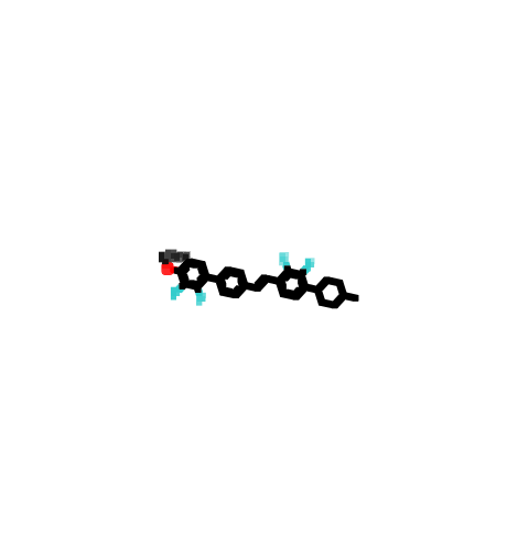 CCCCCCOc1ccc(-c2ccc(/C=C/c3ccc(C4CCC(C)CC4)c(F)c3F)cc2)c(F)c1F